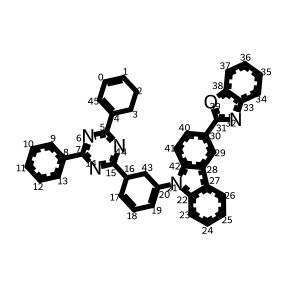 C1=CCCC(c2nc(-c3ccccc3)nc(C3C=CC=C(n4c5ccccc5c5cc(-c6nc7ccccc7o6)ccc54)C3)n2)=C1